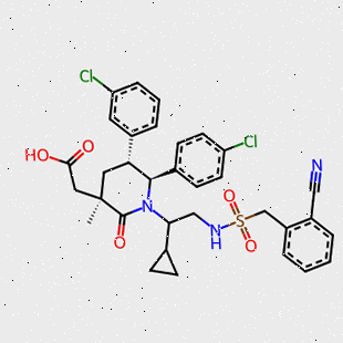 C[C@]1(CC(=O)O)C[C@H](c2cccc(Cl)c2)[C@@H](c2ccc(Cl)cc2)N(C(CNS(=O)(=O)Cc2ccccc2C#N)C2CC2)C1=O